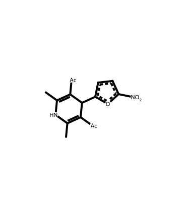 CC(=O)C1=C(C)NC(C)=C(C(C)=O)C1c1ccc([N+](=O)[O-])o1